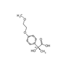 COCCOc1ccc([C@@](C)(O)C(=O)O)cc1